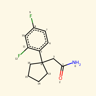 NC(=O)CC1(c2ccc(F)cc2F)CCCC1